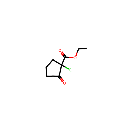 CCOC(=O)C1(Cl)CCCC1=O